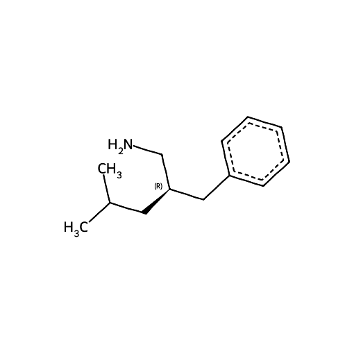 CC(C)C[C@@H](CN)Cc1ccccc1